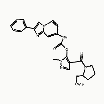 COC[C@@H]1CCCN1C(=O)c1cnn(C)c1OC(=O)Nc1ccn2cc(-c3ccccc3)nc2c1